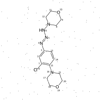 Clc1cc(N=NNN2CCOCC2)ccc1N1CCOCC1